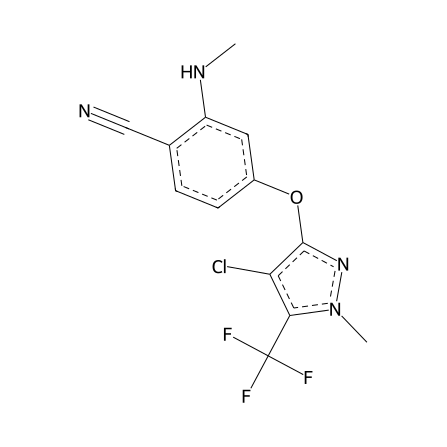 CNc1cc(Oc2nn(C)c(C(F)(F)F)c2Cl)ccc1C#N